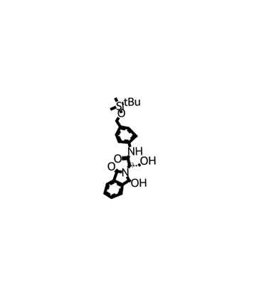 CC(C)(C)[Si](C)(C)OCc1ccc(NC(=O)[C@H](CO)N2C(=O)c3ccccc3C2O)cc1